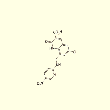 O=C(O)c1cc2cc(Cl)cc(CNc3ccc([N+](=O)[O-])cn3)c2[nH]c1=O